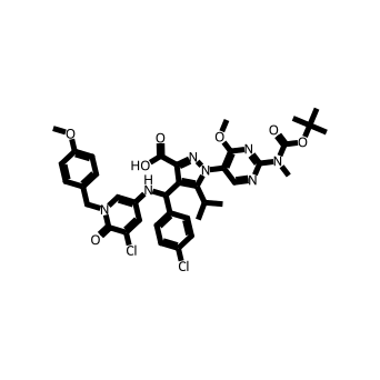 COc1ccc(Cn2cc(NC(c3ccc(Cl)cc3)c3c(C(=O)O)nn(-c4cnc(N(C)C(=O)OC(C)(C)C)nc4OC)c3C(C)C)cc(Cl)c2=O)cc1